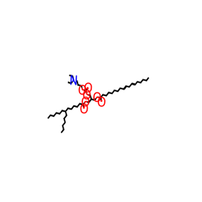 CCCCCC=CCC=CCCCCCCCC(=O)OCC(COC(=O)CCCCCC(CCCCCC)CCCCCC)COC(=O)OCCCN(CC)CC